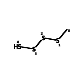 CSSSS